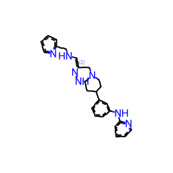 N=N/C(=C\NCc1ccccn1)CN1CCC(c2cccc(Nc3ccccn3)c2)CC1